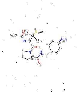 COC(=O)N[C@@H](C(=O)N1CCC[C@H]1C(=O)NC[C@H]1CC[C@H](N)CC1)C(C)(C)SC(C)C